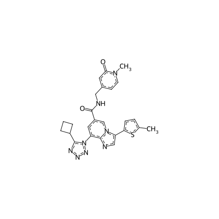 Cc1ccc(-c2cnc3c(-n4nnnc4C4CCC4)cc(C(=O)NCc4ccn(C)c(=O)c4)cn23)s1